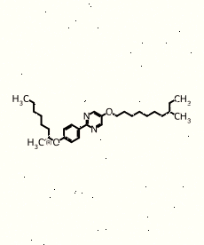 CCCCCC[C@@H](C)Oc1ccc(-c2ncc(OCCCCCCCC(C)CC)cn2)cc1